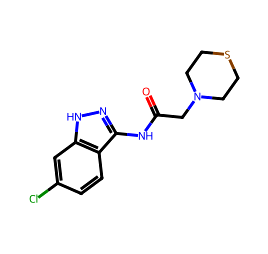 O=C(CN1CCSCC1)Nc1n[nH]c2cc(Cl)ccc12